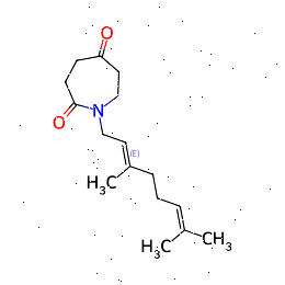 CC(C)=CCC/C(C)=C/CN1CCC(=O)CCC1=O